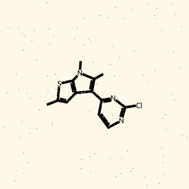 Cc1cc2c(-c3ccnc(Cl)n3)c(C)n(C)c2s1